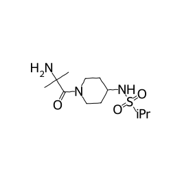 CC(C)S(=O)(=O)NC1CCN(C(=O)C(C)(C)N)CC1